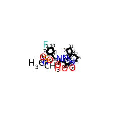 CN(C)S(=O)(=O)c1cc(F)ccc1CNC(=O)c1nc2n(c(=O)c1O)CCCC21CCCC1